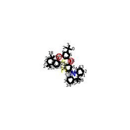 CC(C)(C)c1cc2c3c(c1)Oc1c(ccc4c1C(C)(C)CCC4(C)C)[SH]3c1ccc(N3c4ccccc4C(C)(C)c4ccccc43)cc1O2